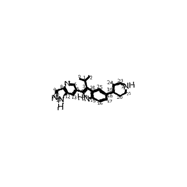 CC(C)c1c(-c2cnc3cn[nH]c3c2)[nH]c2ccc(C3CCNCC3)cc12